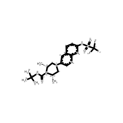 C[C@@H]1CN(c2cnc3nc(OS(=O)(=O)C(F)(F)F)ccc3c2)C[C@H](C)N1C(=O)OC(C)(C)C